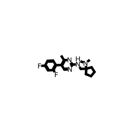 Cc1nc(NCC2(N(C)C)CCCC2)ncc1-c1ccc(F)cc1F